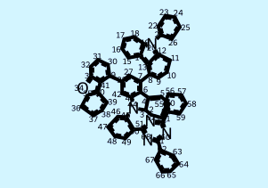 C1=CCC2C(=C1)c1c(-c3cccc4c3c3ccccc3n4-c3ccccc3)cc(-c3cccc4oc5ccccc5c34)cc1N2c1ccccc1-c1nc(-c2ccccc2)nc(-c2ccccc2)n1